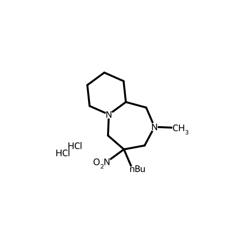 CCCCC1([N+](=O)[O-])CN(C)CC2CCCCN2C1.Cl.Cl